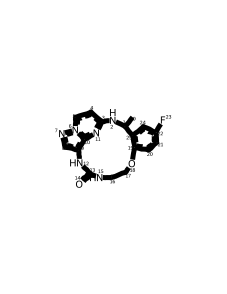 CC1Nc2ccn3ncc(c3n2)NC(=O)NCCOc2ccc(F)cc21